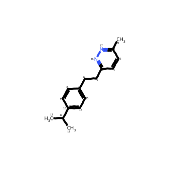 Cc1ccc(CCc2ccc(C(C)C)cc2)nn1